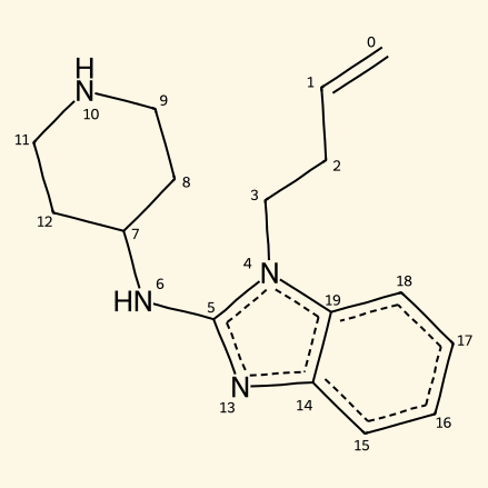 C=CCCn1c(NC2CCNCC2)nc2ccccc21